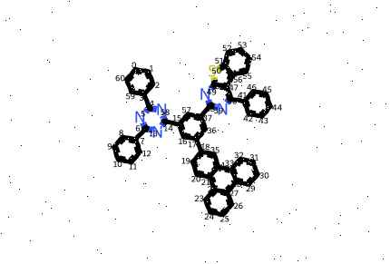 c1ccc(-c2nc(-c3ccccc3)nc(-c3cc(-c4ccc5c6ccccc6c6ccccc6c5c4)cc(-c4nc(-c5ccccc5)c5c(n4)sc4ccccc45)c3)n2)cc1